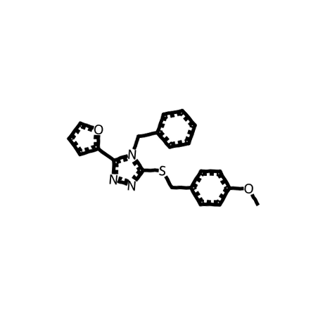 COc1ccc(CSc2nnc(-c3ccco3)n2Cc2ccccc2)cc1